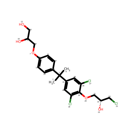 CC(C)(c1ccc(OCC(O)CO)cc1)c1cc(Cl)c(OC[C@@H](O)CCl)c(Cl)c1